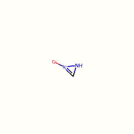 [O-][N+]1=CN1